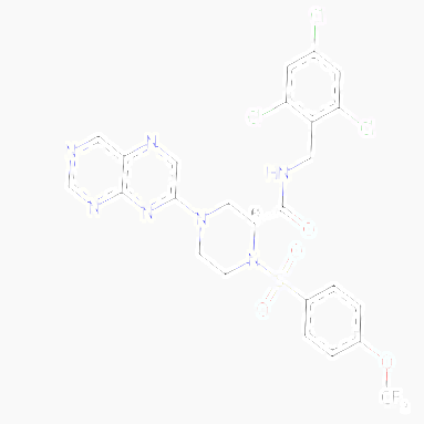 O=C(NCc1c(Cl)cc(Cl)cc1Cl)[C@H]1CN(c2cnc3cncnc3n2)CCN1S(=O)(=O)c1ccc(OC(F)(F)F)cc1